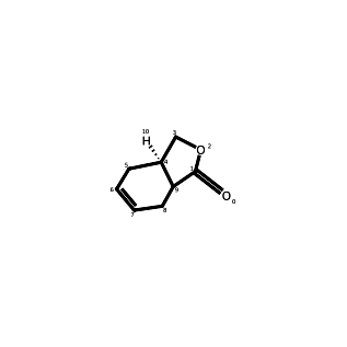 O=C1OC[C@@H]2CC=CCC12